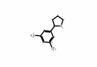 FC(F)(F)c1cc(C2[CH]CCO2)cc(C(F)(F)F)c1